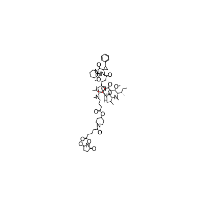 CC[C@H](C)[C@@H]([C@@H](CC(=O)N1CCC[C@H]1[C@H](OC)[C@@H](C)C(=O)N[C@@]1(C(=O)N2CCCCO2)C[C@@H]1c1ccccc1)OC)N(C)[C@H](C(=O)NC(=O)[C@H](C(C)C)N(C)CCCC(=O)OC1CCN(C(=O)CCCC(=O)ON2C(=O)CCC2=O)CC1)C(C)C